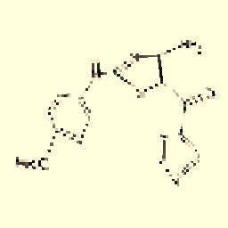 COc1ccc(Nc2nc(N)c(C(=O)c3ccncc3)s2)cc1